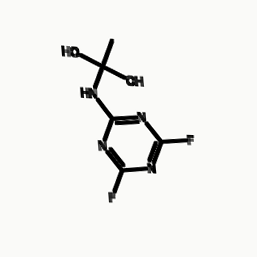 CC(O)(O)Nc1nc(F)nc(F)n1